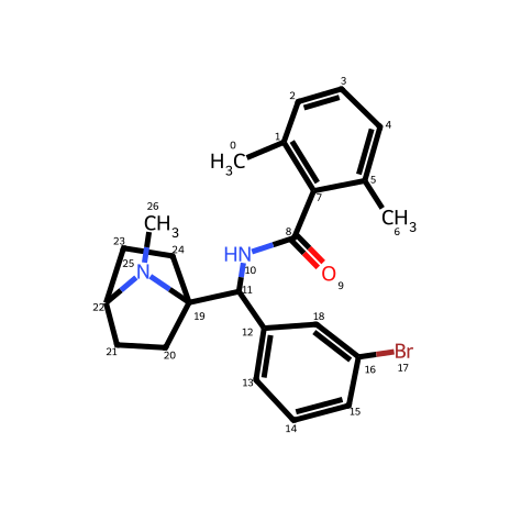 Cc1cccc(C)c1C(=O)NC(c1cccc(Br)c1)C12CCC(CC1)N2C